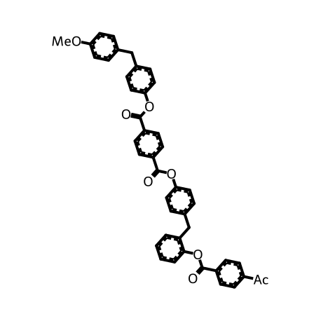 COc1ccc(Cc2ccc(OC(=O)c3ccc(C(=O)Oc4ccc(Cc5ccccc5OC(=O)c5ccc(C(C)=O)cc5)cc4)cc3)cc2)cc1